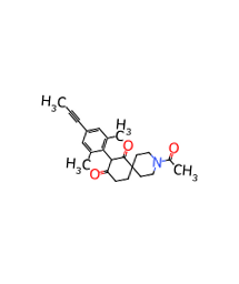 CC#Cc1cc(C)c(C2C(=O)CCC3(CCN(C(C)=O)CC3)C2=O)c(C)c1